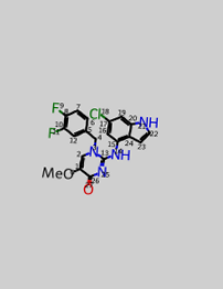 COc1cn(Cc2ccc(F)c(F)c2)c(Nc2cc(Cl)cc3[nH]ccc23)nc1=O